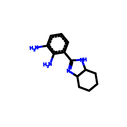 Nc1cccc(C2=NC3CCCCC3N2)c1N